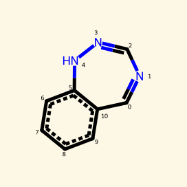 C1=NC=NNc2ccccc21